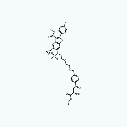 CCOC(=O)C(O)=CC(=O)c1ccc(COCCOCCN(c2cc3oc(-c4ccc(F)cc4)c(C(=O)NC)c3cc2C2CC2)S(C)(=O)=O)cc1